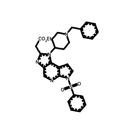 CCOC(=O)Cc1nc2cnc3c(ccn3S(=O)(=O)c3ccccc3)c2n1C1CCN(Cc2ccccc2)CC1